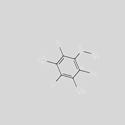 Nc1c(F)c(N)c(F)c(OC(F)(F)F)c1F